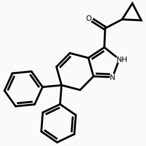 O=C(c1[nH]nc2c1C=CC(c1ccccc1)(c1ccccc1)C2)C1CC1